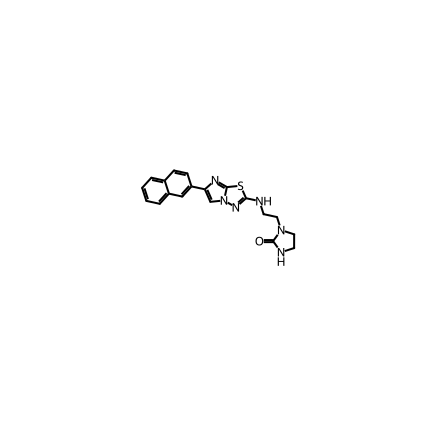 O=C1NCCN1CCNc1nn2cc(-c3ccc4ccccc4c3)nc2s1